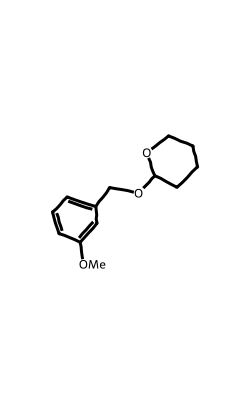 COc1cccc(COC2CCCCO2)c1